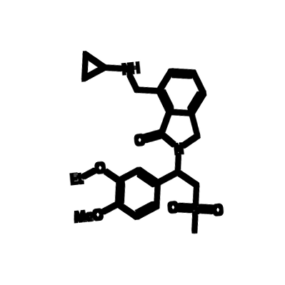 CCOc1cc(C(CS(C)(=O)=O)N2Cc3cccc(CNC4CC4)c3C2=O)ccc1OC